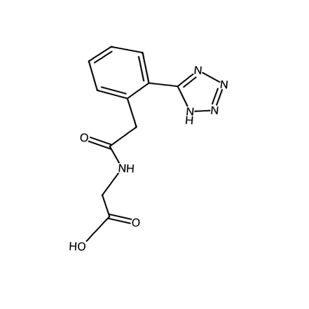 O=C(O)CNC(=O)Cc1ccccc1-c1nnn[nH]1